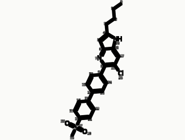 CCCCc1cc2nc(-c3ccc(-c4ccc(S(C)(=O)=O)cc4)cc3)c(Cl)cc2[nH]1